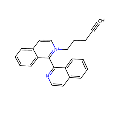 C#CCCC[n+]1ccc2ccccc2c1-c1nccc2ccccc12